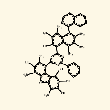 Bc1c(B)c(B)c2c(oc3c(B)c(B)c(B)c(-c4nc(-c5ccccc5)nc(-c5c(B)c(B)c(B)c6c(-c7cccc8ccccc78)c(B)c(B)c(B)c56)n4)c32)c1B